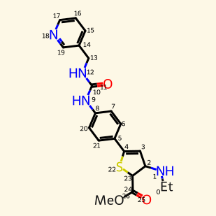 CCNC1C=C(c2ccc(NC(=O)NCc3cccnc3)cc2)SC1C(=O)OC